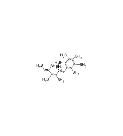 B/C=C(B)/C(B)=C(B)\C(B)=C\c1c(B)c(B)c(B)c(B)c1B